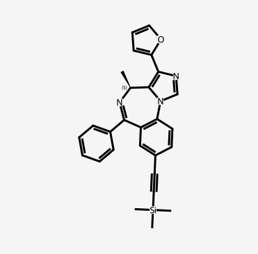 C[C@@H]1N=C(c2ccccc2)c2cc(C#C[Si](C)(C)C)ccc2-n2cnc(-c3ccco3)c21